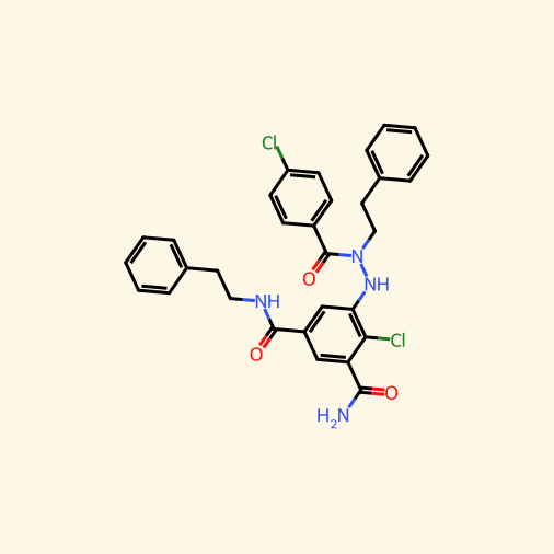 NC(=O)c1cc(C(=O)NCCc2ccccc2)cc(NN(CCc2ccccc2)C(=O)c2ccc(Cl)cc2)c1Cl